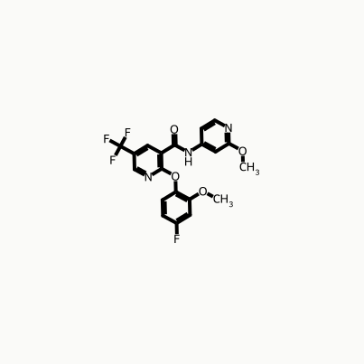 COc1cc(NC(=O)c2cc(C(F)(F)F)cnc2Oc2ccc(F)cc2OC)ccn1